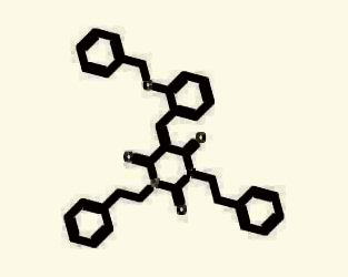 O=C1C(=Cc2ccccc2OCc2ccccc2)C(=O)N(CCc2ccccc2)C(=O)N1CCc1ccccc1